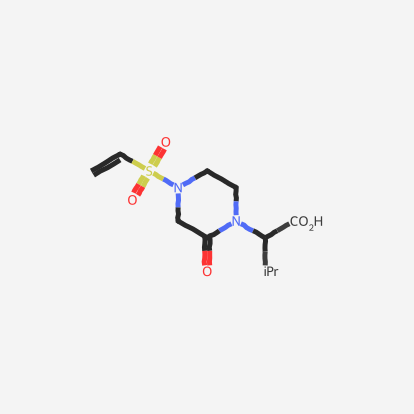 C=CS(=O)(=O)N1CCN(C(C(=O)O)C(C)C)C(=O)C1